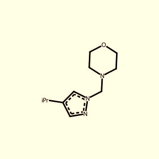 CC(C)c1cnn(CN2CCOCC2)c1